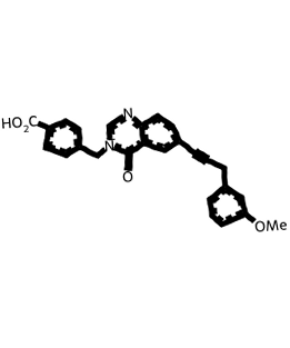 COc1cccc(CC#Cc2ccc3ncn(Cc4ccc(C(=O)O)cc4)c(=O)c3c2)c1